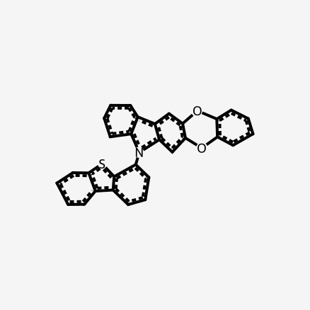 c1ccc2c(c1)Oc1cc3c4ccccc4n(-c4cccc5c4sc4ccccc45)c3cc1O2